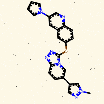 Cn1cc(-c2ccc3nnc(Sc4ccc5ncc(-n6cccc6)cc5c4)n3c2)cn1